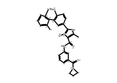 COc1ccc(-c2[nH]c(C)c(C(=O)Nc3cccc(C(=O)N4CCC4)c3)[n+]2[O-])cc1-c1c(C)cccc1C